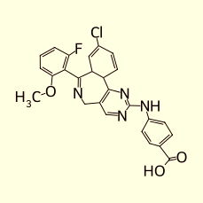 COc1cccc(F)c1C1=NCc2cnc(Nc3ccc(C(=O)O)cc3)nc2C2C=CC(Cl)=CC12